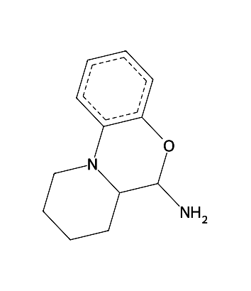 NC1Oc2ccccc2N2CCCCC12